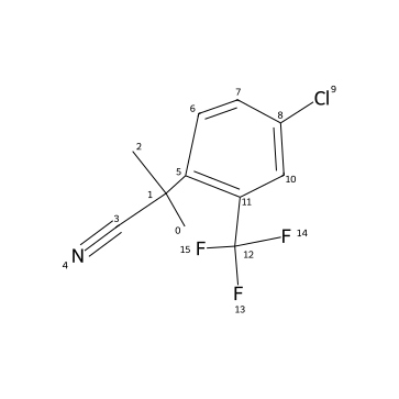 CC(C)(C#N)c1ccc(Cl)cc1C(F)(F)F